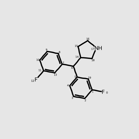 Fc1cccc(C(c2cccc(F)c2)C2CCNC2)c1